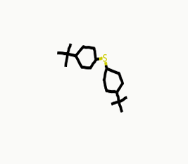 CC(C)(C)C1CCC(SC2CCC(C(C)(C)C)CC2)CC1